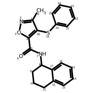 Cc1noc(C(=O)NC2CCCc3ccccc32)c1Sc1ccccc1